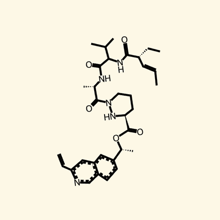 C=Cc1cc2cc([C@@H](C)OC(=O)[C@@H]3CCCN(C(=O)[C@H](C)NC(=O)C(NC(=O)[C@@H](/C=C/C)CC)C(C)C)N3)ccc2cn1